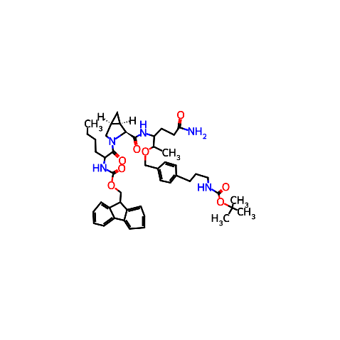 CCCCC(NC(=O)OCC1c2ccccc2-c2ccccc21)C(=O)N1C[C@H]2C[C@H]2[C@H]1C(=O)NC(CCC(N)=O)C(C)OCc1ccc(CCCNC(=O)OC(C)(C)C)cc1